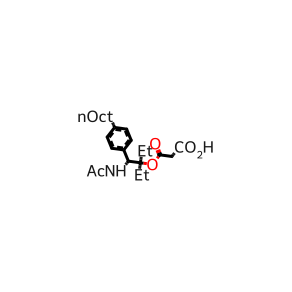 CCCCCCCCc1ccc(C(NC(C)=O)C(CC)(CC)OC(=O)CC(=O)O)cc1